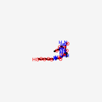 CCCOCCC(=O)N[C@H](C(=O)N[C@@H](CCCNC(N)=O)C(=O)Nc1ccc(CC)c(NC(=O)CNC(=O)OCc2cn(CCOCCOCCOCCOCCO)nn2)c1)C(C)C